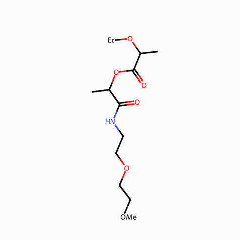 CCOC(C)C(=O)OC(C)C(=O)NCCOCCOC